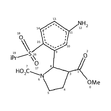 COC(=O)C1CCN(C(=O)O)C1c1cc(N)ccc1S(=O)(=O)C(C)C